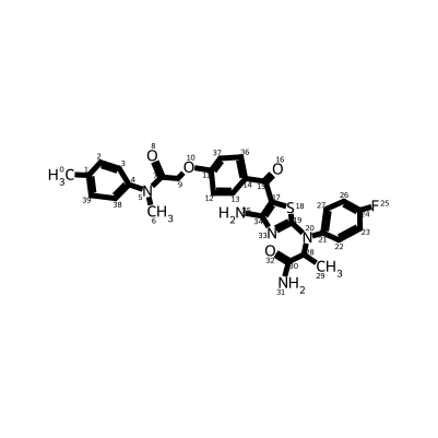 Cc1ccc(N(C)C(=O)COc2ccc(C(=O)c3sc(N(c4ccc(F)cc4)C(C)C(N)=O)nc3N)cc2)cc1